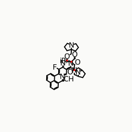 C#Cc1cccc2cccc(-c3ncc4c(N5CC6CCC(C5)N6C(=O)C5OC(=O)C5C(C)C)nc(OCC56CCCN5CCC6)nc4c3F)c12